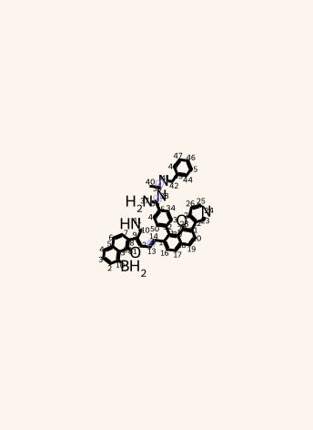 Bc1cccc2ccc3c(C=N)c(/C=C/c4ccc5ccc6c7cnccc7oc6c5c4-c4ccc(/C(N)=N/C(C)=N\Cc5ccccc5)cc4)oc3c12